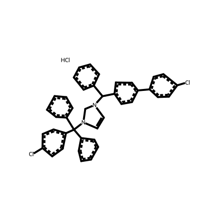 Cl.Clc1ccc(-c2ccc(C(c3ccccc3)N3C=CN(C(c4ccccc4)(c4ccccc4)c4ccc(Cl)cc4)C3)cc2)cc1